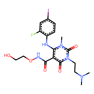 CN(C)CCn1c(=O)c(C(=O)NOCCO)c(Nc2ccc(I)cc2F)n(C)c1=O